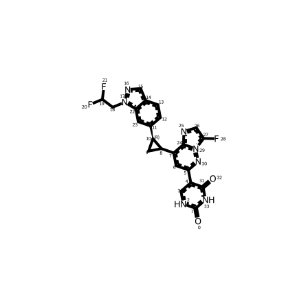 O=c1[nH]cc(-c2cc(C3C[C@H]3c3ccc4cnn(CC(F)F)c4c3)c3ncc(F)n3n2)c(=O)[nH]1